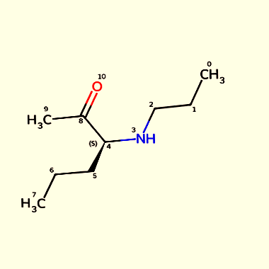 CCCN[C@@H](CCC)C(C)=O